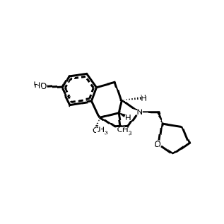 C[C@H]1[C@H]2Cc3ccc(O)cc3[C@]1(C)CCN2C[C@H]1CCCO1